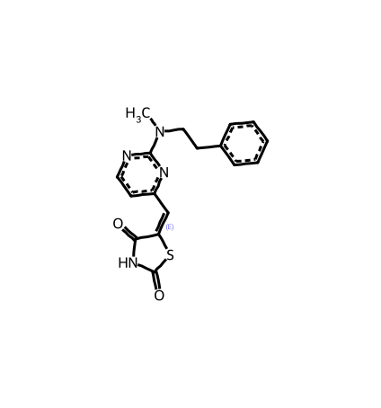 CN(CCc1ccccc1)c1nccc(/C=C2/SC(=O)NC2=O)n1